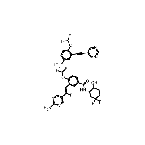 Nc1ncc(/C(F)=C/c2cc(C(=O)N[C@H]3CC(F)(F)CC[C@@H]3O)ccc2OC(F)F)cn1.O=C(O)c1ccc(OC(F)F)c(C#Cc2cncnc2)c1